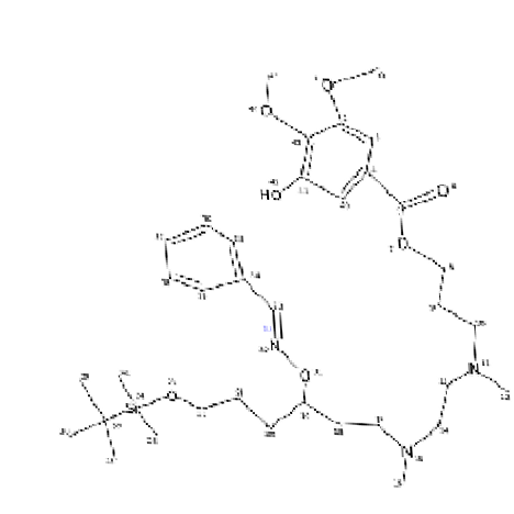 COc1cc(C(=O)OCCCN(C)CCN(C)CCC(CCCO[Si](C)(C)C(C)(C)C)O/N=C/c2ccccc2)cc(O)c1OC